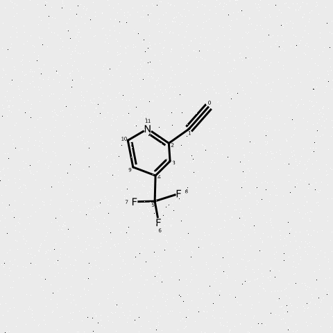 C#Cc1cc(C(F)(F)F)ccn1